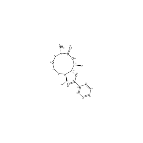 CC[C@H]1CCOC[C@H](N)C(=O)O[C@@H](C)[C@@H]1OC(=O)c1ccccc1